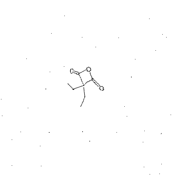 CCC1(CC)C(=O)OC1=O